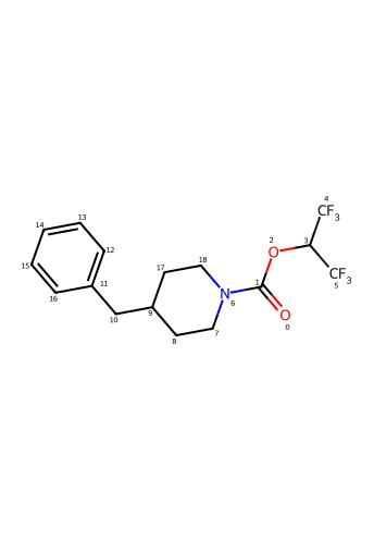 O=C(OC(C(F)(F)F)C(F)(F)F)N1CCC(Cc2ccccc2)CC1